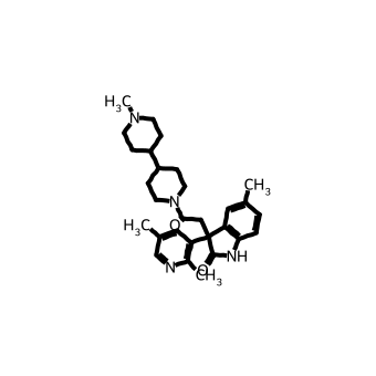 Cc1ccc2c(c1)C(CC(=O)N1CCC(C3CCN(C)CC3)CC1)(c1cc(C)cnc1C)C(=O)N2